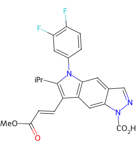 COC(=O)C=Cc1c(C(C)C)n(-c2ccc(F)c(F)c2)c2cc3cnn(C(=O)O)c3cc12